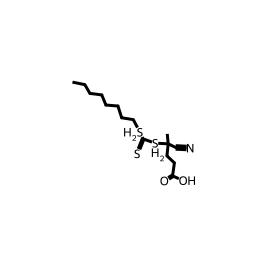 CCCCCCCC[SH2]C(=S)[SH2]C(C)(C#N)CCC(=O)O